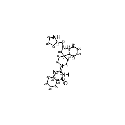 O=c1[nH]c(N2CCC3(CC2)CN(CC2CCCN2)c2ccccc23)nc2c1CCCC2